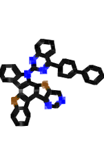 c1ccc(-c2ccc(-c3nc(-n4c5ccccc5c5c6sc7ccccc7c6c6c7ncncc7sc6c54)nc4ccccc34)cc2)cc1